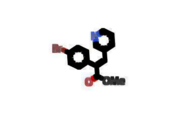 COC(=O)/C(=C/c1cccnc1)c1ccc(Br)cc1